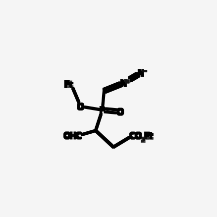 CCOC(=O)CC(C=O)P(=O)(C=[N+]=[N-])OCC